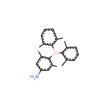 Cc1cccc(C)c1B(c1c(C)cccc1C)c1c(C)cc(N)cc1C